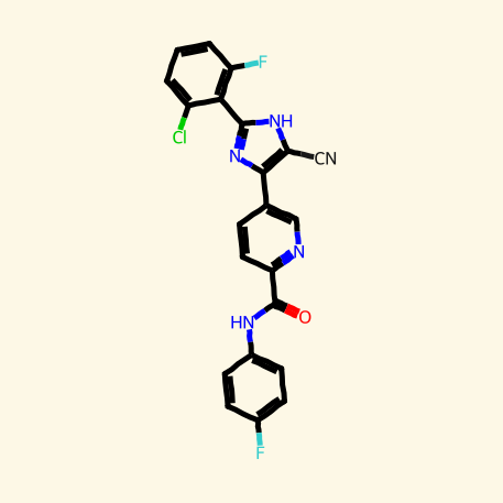 N#Cc1[nH]c(-c2c(F)cccc2Cl)nc1-c1ccc(C(=O)Nc2ccc(F)cc2)nc1